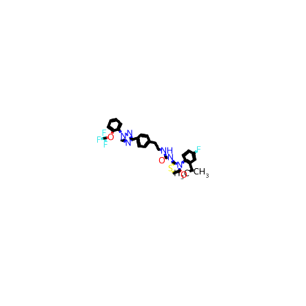 CC(C)c1cc(F)ccc1N1C(=O)CSC1=NC(=O)NCCc1ccc(-c2ncn(-c3ccccc3OC(F)(F)F)n2)cc1